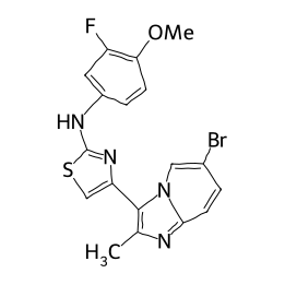 COc1ccc(Nc2nc(-c3c(C)nc4ccc(Br)cn34)cs2)cc1F